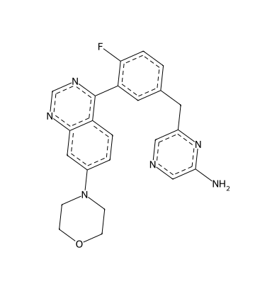 Nc1cncc(Cc2ccc(F)c(-c3ncnc4cc(N5CCOCC5)ccc34)c2)n1